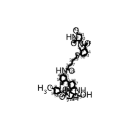 Cc1ccc(S(=O)(=O)N2CC[C@@H]3[C@H](CO)Nc4ccc(-c5cc(NC(=O)CCCCSc6cccc7c6CN(C6CCC(=O)NC6=O)C7=O)ccc5F)cc4[C@@H]32)cc1